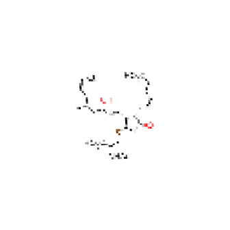 CC/C=C\CC(C)CC(O)/C=C/[C@H]1C(SC[C@H](NC(C)=O)C(=O)O)CC(=O)[C@H]1C/C=C\CCC(=O)O